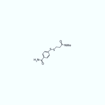 CNC(=O)CCSSc1ccc(C(N)=O)cc1